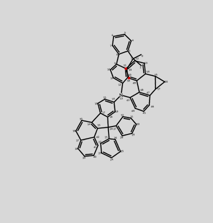 CC1(C)c2ccccc2-c2ccc(N(c3ccc4c(c3)C(c3ccccc3)(c3ccccc3)c3c-4ccc4ccccc34)c3cccc4c3-c3ccccc3C3CC43)cc21